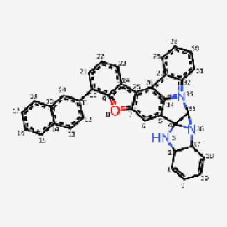 C1=CC2NC34c5cc6oc7c(-c8ccc9ccccc9c8)cccc7c6c6c7ccccc7n(c56)C3N4C2C=C1